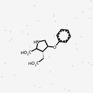 O=C(O)C[C@H]1C(Oc2ccccc2)CNC1C(=O)O